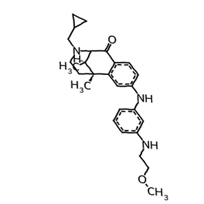 COCCNc1cccc(Nc2ccc3c(c2)[C@]2(C)CCN(CC4CC4)C(C3=O)[C@@H]2C)c1